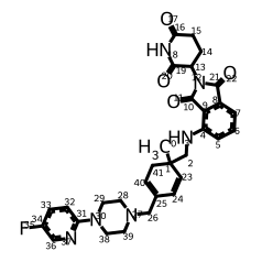 CC1(CNc2cccc3c2C(=O)N(C2CCC(=O)NC2=O)C3=O)C=CC(CN2CCN(c3ccc(F)cn3)CC2)=CC1